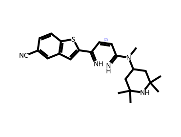 CN(C(=N)/C=C\C(=N)c1cc2cc(C#N)ccc2s1)C1CC(C)(C)NC(C)(C)C1